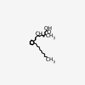 CCCCCCCCCCc1ccccc1C=CC(C)=CC=CC(C)=CC(=O)O